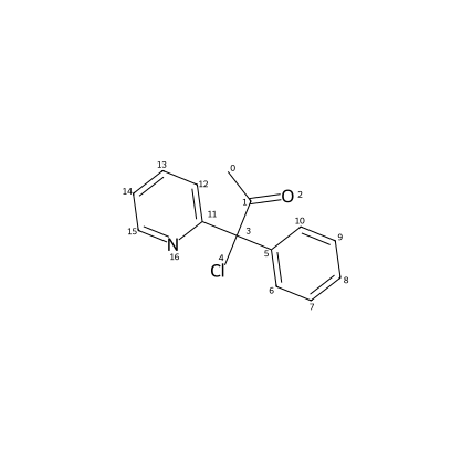 CC(=O)C(Cl)(c1ccccc1)c1ccccn1